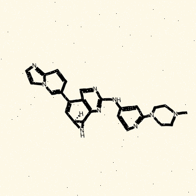 CN1CCN(c2cc(Nc3ncc4c(n3)C3N[C@H]3C=C4c3ccc4nccn4c3)ccn2)CC1